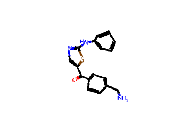 NCc1ccc(C(=O)c2cnc(Nc3ccccc3)s2)cc1